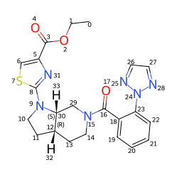 CCOC(=O)c1csc(N2CC[C@H]3CCN(C(=O)c4ccccc4-n4nccn4)C[C@H]32)n1